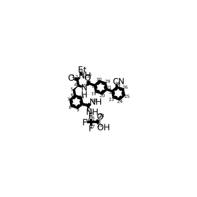 CCNC(=O)[C@H](Cc1cccc(C(=N)N)c1)NC(=O)c1ccc(-c2ccccc2C#N)cc1.O=C(O)C(F)(F)F